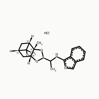 CC(Nc1occ2ccccc12)B1O[C@@H]2C[C@@H]3C[C@@H](C3(C)C)[C@]2(C)O1.Cl